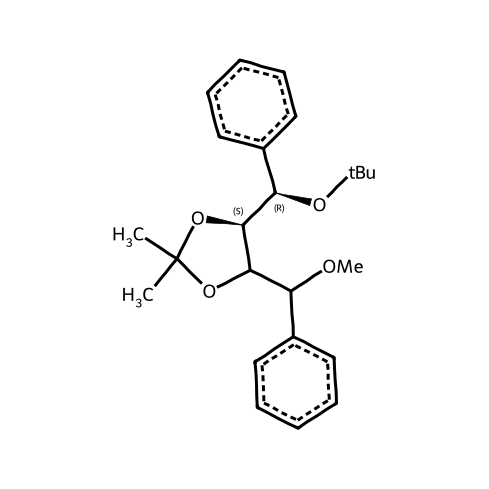 COC(c1ccccc1)C1OC(C)(C)O[C@H]1[C@H](OC(C)(C)C)c1ccccc1